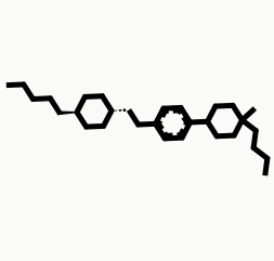 CCCCC[C@H]1CC[C@H](CCc2ccc(C3CCC(C)(CCCC)CC3)cc2)CC1